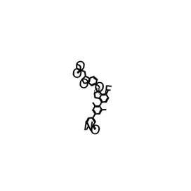 COC(=O)CC1COc2cc(O[C@@H]3CCc4c(-c5c(C)cc(-c6ccn(C)c(=O)c6)cc5C)ccc(F)c43)ccc21